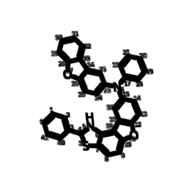 c1ccc(C2Nc3c(ccc4oc5ccc(N(c6ccccc6)c6ccc7oc8ccccc8c7c6)cc5c34)S2)cc1